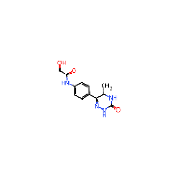 CC1NC(=O)NN=C1c1ccc(NC(=O)CO)cc1